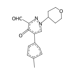 Cc1ccc(-c2cn(C3CCOCC3)nc(C=O)c2=O)cc1